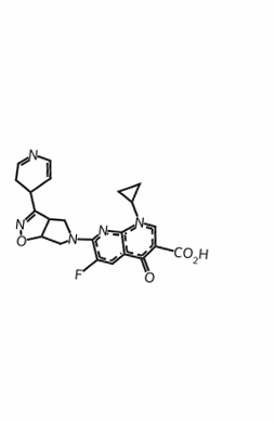 O=C(O)c1cn(C2CC2)c2nc(N3CC4ON=C(C5C=CN=CC5)C4C3)c(F)cc2c1=O